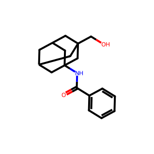 O=C(NC12CC3CC(CC(CO)(C3)C1)C2)c1ccccc1